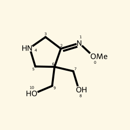 CON=C1CNCC1(CO)CO